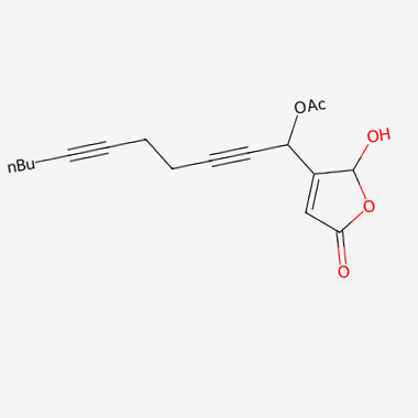 CCCCC#CCCC#CC(OC(C)=O)C1=CC(=O)OC1O